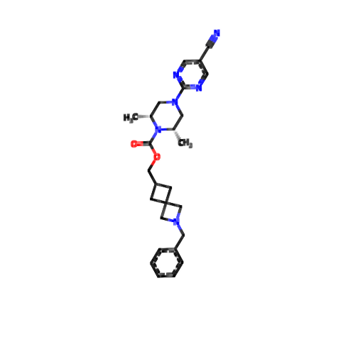 C[C@@H]1CN(c2ncc(C#N)cn2)C[C@H](C)N1C(=O)OCC1CC2(C1)CN(Cc1ccccc1)C2